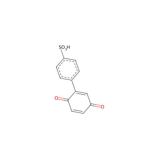 O=C1C=CC(=O)C(c2ccc(S(=O)(=O)O)cc2)=C1